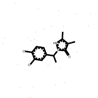 Cc1[nH]n(C(C)c2ccc(Cl)c(Cl)c2)c(=O)c1C